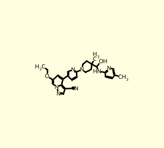 CCOc1cc(-c2ccc(N3CCC(C)(C(O)Nc4ccc(C)cn4)CC3)nc2)c2c(C#N)cnn2c1